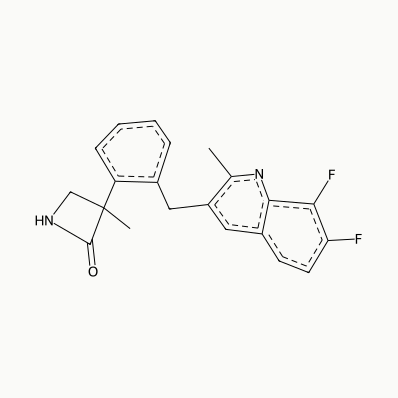 Cc1nc2c(F)c(F)ccc2cc1Cc1ccccc1C1(C)CNC1=O